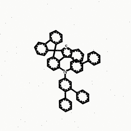 c1ccc(-c2ccc(N(c3ccc(-c4ccccc4)c(-c4ccccc4)c3)c3cccc4c3-c3c(sc5ccccc35)C43c4ccccc4-c4ccccc43)cc2)cc1